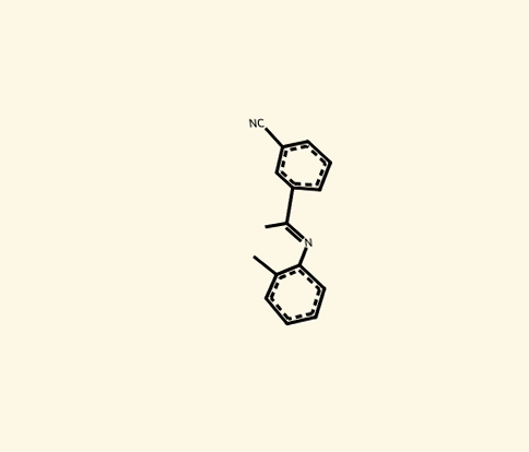 CC(=Nc1ccccc1C)c1cccc(C#N)c1